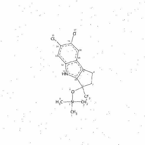 C[Si](C)(C)OC1(C(F)(F)F)CCc2c1[nH]c1cc(Cl)c(Cl)cc21